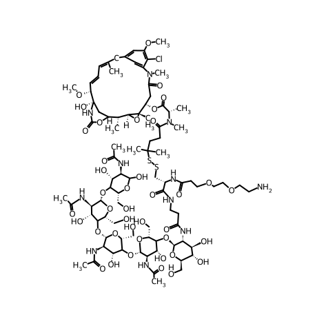 COc1cc2cc(c1Cl)N(C)C(=O)C[C@H](OC(=O)[C@H](C)N(C)C(=O)CCC(C)(C)SSC[C@H](NC(=O)CCOCCOCCN)C(=O)NCCC(=O)N[C@H]1[C@H](OC3[C@@H](CO)O[C@@H](OC4[C@@H](CO)O[C@@H](OC5[C@@H](CO)O[C@@H](OC6[C@@H](CO)OC(O)[C@H](NC(C)=O)[C@H]6O)[C@H](NC(C)=O)[C@H]5O)[C@H](NC(C)=O)[C@H]4O)[C@H](NC(C)=O)[C@H]3O)O[C@H](CO)[C@@H](O)[C@@H]1O)[C@]1(C)O[C@H]1[C@H](C)[C@@H]1C[C@@](O)(NC(=O)O1)[C@H](OC)/C=C/C=C(\C)C2